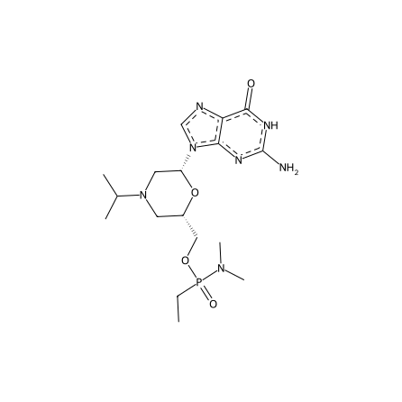 CCP(=O)(OC[C@@H]1CN(C(C)C)C[C@H](n2cnc3c(=O)[nH]c(N)nc32)O1)N(C)C